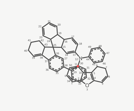 C1=CC2OC3=C(CCC=C3)C2C(N(C2=CC3C(C=C2)C2C=CC=CC2C32c3cc(-c4ccccc4)ccc3C3=CCCCC32)c2ccccc2)=C1